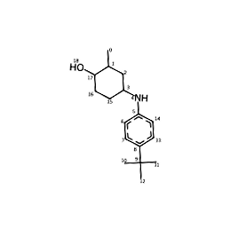 CC1CC(Nc2ccc(C(C)(C)C)cc2)CCC1O